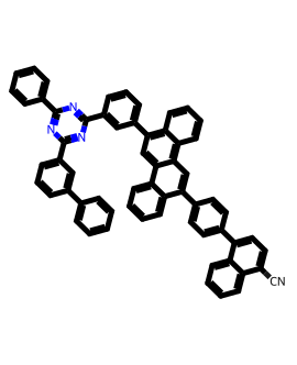 N#Cc1ccc(-c2ccc(-c3cc4c5ccccc5c(-c5cccc(-c6nc(-c7ccccc7)nc(-c7cccc(-c8ccccc8)c7)n6)c5)cc4c4ccccc34)cc2)c2ccccc12